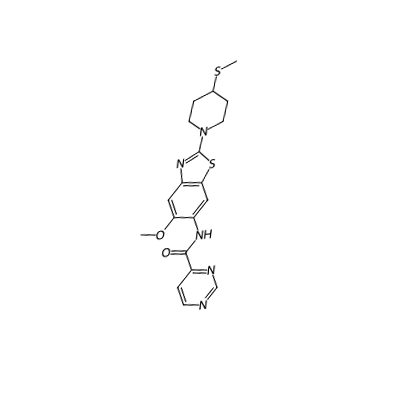 COc1cc2nc(N3CCC(SC)CC3)sc2cc1NC(=O)c1ccncn1